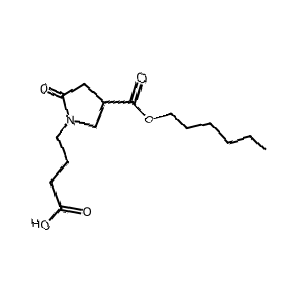 CCCCCCOC(=O)C1CC(=O)N(CCCC(=O)O)C1